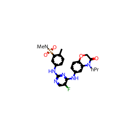 CCCN1C(=O)COc2ccc(Nc3nc(Nc4ccc(C)c(S(=O)(=O)NC)c4)ncc3F)cc21